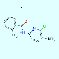 O=C(Nc1ccc([N+](=O)[O-])c(Cl)n1)c1ccccc1C(F)(F)F